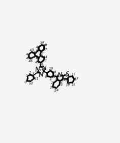 c1ccc(-c2nc(-c3ccc(-c4nc5sc6ccccc6c5c5ccccc45)cc3)nc(-c3ccc4c5ccccc5c5ccccc5c4c3)n2)cc1